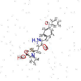 N[C@@H](Cc1ccc(C(=O)c2ccccc2)cc1)C(=O)CCC(=S)N1CCC[C@H]1C(=O)O